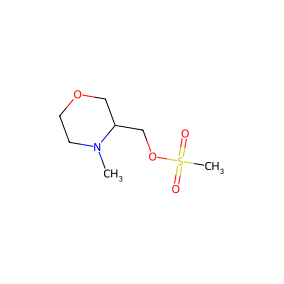 CN1CCOCC1COS(C)(=O)=O